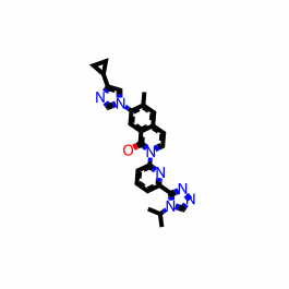 Cc1cc2ccn(-c3cccc(-c4nncn4C(C)C)n3)c(=O)c2cc1-n1cnc(C2CC2)c1